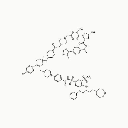 Cc1ncsc1-c1ccc([C@H](C)NC(=O)[C@@H]2C[C@@H](O)CN2C(=O)C(NC(=O)CN2CCC(CC(=O)N3CCN(CC4(C)CCC(c5ccc(Cl)cc5)=C(CN5CCN(c6ccc(C(=O)NS(=O)(=O)c7ccc(NC(CCN8CCCOCC8)CSc8ccccc8)c(S(=O)(=O)C(F)(F)F)c7)cc6)CC5)C4)CC3)CC2)C(C)(C)C)cc1